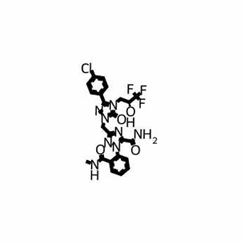 CNC(=O)c1ccccc1-n1nc(Cn2nc(-c3ccc(Cl)cc3)n(C[C@H](O)C(F)(F)F)c2=O)nc1C(N)=O